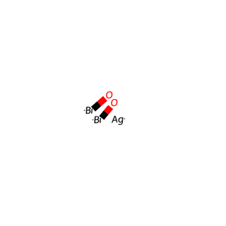 [Ag].[O]=[Bi].[O]=[Bi]